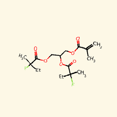 C=C(C)C(=O)OCC(COC(=O)C(C)(F)CC)OC(=O)C(C)(F)CC